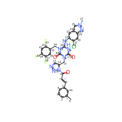 Cc1cccc(/C=C/C(=O)n2nncc2Cn2c(=O)[nH]/c(=N\c3cc4cn(C)nc4cc3Cl)n(Cc3cc(F)c(F)cc3F)c2=O)c1